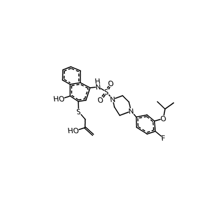 C=C(O)CSc1cc(NS(=O)(=O)N2CCN(c3ccc(F)c(OC(C)C)c3)CC2)c2ccccc2c1O